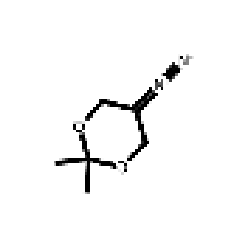 CC1(C)OCC(=[N+]=[N-])CO1